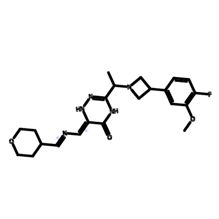 COc1cc(C2CN(C(C)C3=NN/C(=C\N=C\C4CCOCC4)C(=O)N3)C2)ccc1F